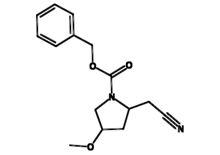 COC1CC(CC#N)N(C(=O)OCc2ccccc2)C1